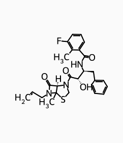 C=CCN1C(=O)[C@H]2N(C(=O)[C@@H](O)[C@H](Cc3ccccc3)NC(=O)c3cccc(F)c3C)CSC21C